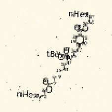 CCCCCC/C=C\COC(=O)CCCCCCCN(CCCc1ccc(C(=O)OC/C=C\CCCCCC)cc1)C(=O)OC(C)(C)C